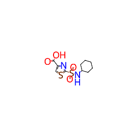 O=C(O)c1csc(S(=O)(=O)NC2CCCCC2)n1